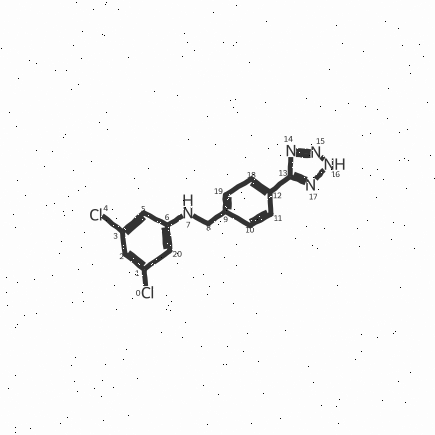 Clc1cc(Cl)cc(NCc2ccc(-c3nn[nH]n3)cc2)c1